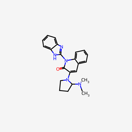 CN(C)C1CCCN1c1cc2ccccc2n(-c2nc3ccccc3[nH]2)c1=O